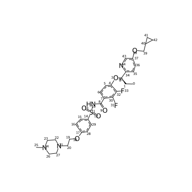 CC[C@@H](Oc1ccc(C(=O)NS(=O)(=O)c2ccc(OCCN3CCN(C)CC3)cc2)c(F)c1F)c1ccc(OCC2CC2)cn1